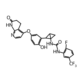 O=C1CCc2c(Oc3ccc(O)c(C4C5CC54NC(=O)Nc4cc(C(F)(F)F)ccc4F)c3)ccnc2N1